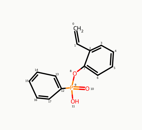 C=Cc1ccccc1OP(=O)(O)c1ccccc1